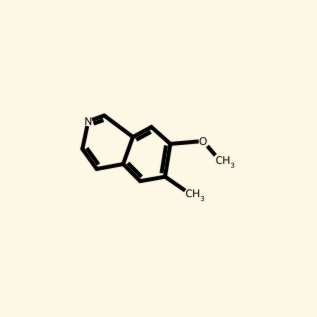 COc1cc2cnccc2cc1C